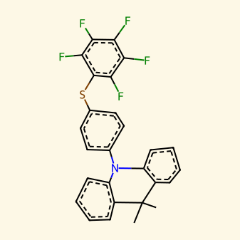 CC1(C)c2ccccc2N(c2ccc(Sc3c(F)c(F)c(F)c(F)c3F)cc2)c2ccccc21